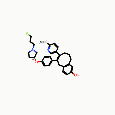 COc1ccc(/C2=C(\c3ccc(O[C@H]4CCN(CCCF)C4)cc3)Cc3ccc(O)cc3CCC2)cn1